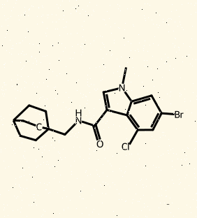 Cn1cc(C(=O)NCC23CCC(CC2)CC3)c2c(Cl)cc(Br)cc21